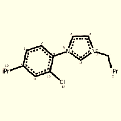 CC(C)C[n+]1ccn(-c2ccc(C(C)C)cc2Cl)c1